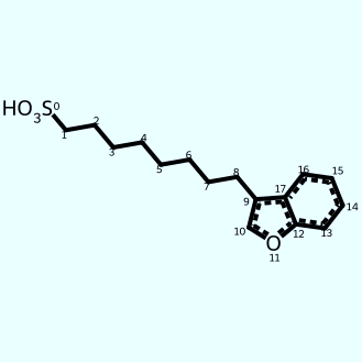 O=S(=O)(O)CCCCCCCCc1coc2ccccc12